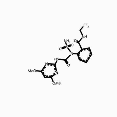 COc1cc(OC)nc(NC(=O)N(c2ccccc2C(=O)NCC(F)(F)F)S(N)(=O)=O)n1